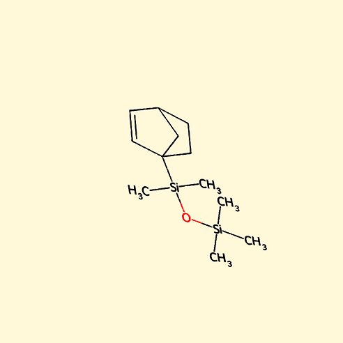 C[Si](C)(C)O[Si](C)(C)C12C=CC(CC1)C2